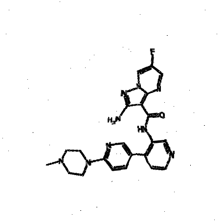 CN1CCN(c2ccc(-c3ccncc3NC(=O)c3c(N)nn4cc(F)cnc34)cn2)CC1